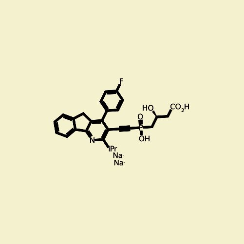 CC(C)c1nc2c(c(-c3ccc(F)cc3)c1C#CP(=O)(O)C[C@@H](O)CC(=O)O)Cc1ccccc1-2.[Na].[Na]